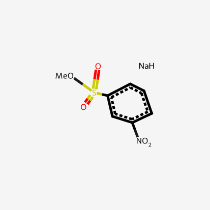 COS(=O)(=O)c1cccc([N+](=O)[O-])c1.[NaH]